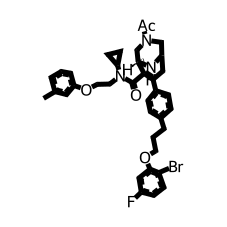 CC(=O)N1CC2CC(c3ccc(CCCOc4cc(F)ccc4Br)cc3)=C(C(=O)N(CCOc3cccc(C)c3)C3CC3)[C@@H](C1)N2